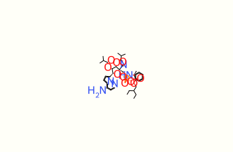 CCC(CC)COC(=O)[C@H](C)N[P@](=O)(OC[C@@]1(C#N)O[C@@H](c2ccc3c(N)ccnn23)[C@H](OC(=O)C(C)C)[C@@H]1OC(=O)C(C)C)Oc1ccccc1